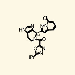 CC(C)c1nnc(C(=O)N2CCc3[nH]cnc3[C@H]2c2cc3cccc(Cl)n3n2)o1